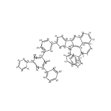 C1=CN(c2ccccc2)c2c3c1cccc3cc1c3ccc(-c4cccc(-c5nc(-c6ccccc6)nc(-c6ccccc6)n5)c4)cc3n(-c3ccccc3)c21